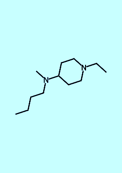 CCCCN(C)C1CCN(CC)CC1